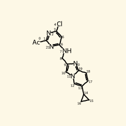 CC(=O)c1nc(Cl)cc(NCc2cn3cc(C4CC4)ccc3n2)n1